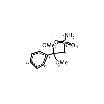 COC(CS(N)(=O)=O)(OC)c1ccccc1